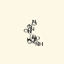 O=C(N1CCC(Cn2cnc3c(ccn3-c3cccnc3)c2=O)CC1)[C@@]1(O)CCNC[C@H]1c1ccccc1